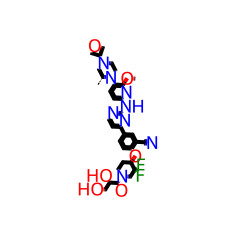 COc1nc(Nc2nccc(-c3ccc(OC4CCN(C(=O)[C@@H](O)CO)CC4(F)F)c(C#N)c3)n2)ccc1N1CCN(C2COC2)C[C@H]1C